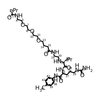 CCCC(=O)NCCOCCOCCOCCCC(=O)NCCN[C@H](C(=O)NC(CCCNC(N)=O)C(=O)Nc1ccc(C)cc1)C(C)C